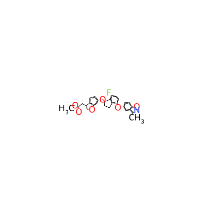 COC(=O)C[C@@H]1COc2cc(O[C@@H]3CCc4c(Oc5ccc6onc(C)c6c5)ccc(F)c43)ccc21